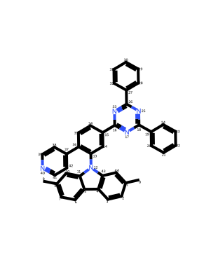 Cc1ccc2c3ccc(C)cc3n(-c3cc(-c4nc(-c5ccccc5)nc(-c5ccccc5)n4)ccc3-c3ccncc3)c2c1